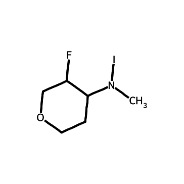 CN(I)C1CCOCC1F